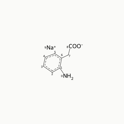 Nc1ccccc1CC(=O)[O-].[Na+]